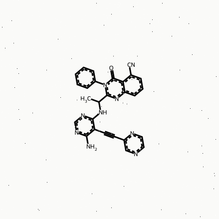 CC(Nc1ncnc(N)c1C#Cc1cnccn1)c1nc2cccc(C#N)c2c(=O)n1-c1ccccc1